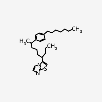 CCCCCCCc1ccc(C(C)CCCC(CCC)c2csc3nccn23)cc1